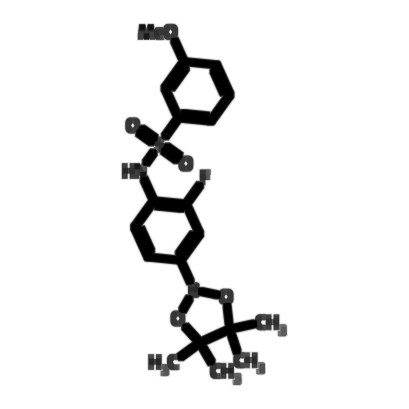 COc1cccc(S(=O)(=O)Nc2ccc(B3OC(C)(C)C(C)(C)O3)cc2F)c1